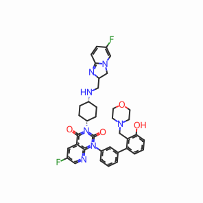 O=c1c2cc(F)cnc2n(-c2cccc(-c3cccc(O)c3CN3CCOCC3)c2)c(=O)n1[C@H]1CC[C@@H](NCC2CN3C=C(F)C=CC3=N2)CC1